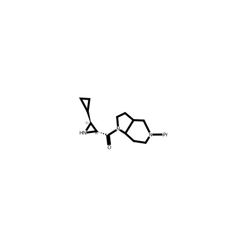 CC(C)N1CCC2C(CCN2C(=O)[C@@H]2N[C@H]2C2CC2)C1